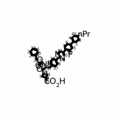 CCCc1ccc(-c2ccc(-c3cnc(-c4ccc(C[C@H](NC(=O)OCc5ccccc5)C(=O)N5CC(C(=O)O)C5)cc4)nc3)c(F)c2)cc1